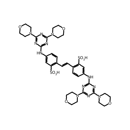 O=S(=O)(O)c1cc(Nc2nc(N3CCOCC3)nc(N3CCOCC3)n2)ccc1C=Cc1ccc(Nc2nc(N3CCOCC3)nc(N3CCOCC3)n2)cc1S(=O)(=O)O